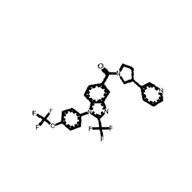 O=C(c1ccc2c(c1)nc(C(F)(F)F)n2-c1ccc(OC(F)(F)F)cc1)N1CCC(c2cccnc2)C1